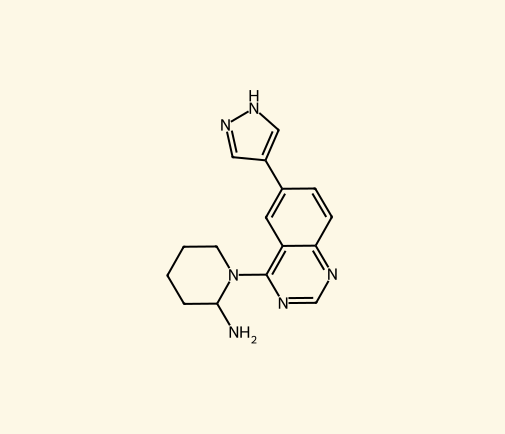 NC1CCCCN1c1ncnc2ccc(-c3cn[nH]c3)cc12